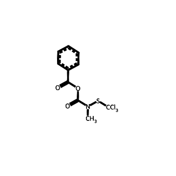 CN(SC(Cl)(Cl)Cl)C(=O)OC(=O)c1ccccc1